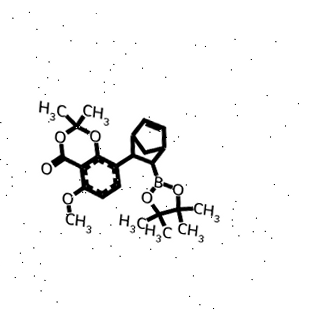 COc1ccc(C2C3C=CC(C3)C2B2OC(C)(C)C(C)(C)O2)c2c1C(=O)OC(C)(C)O2